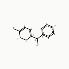 CC1=CC=C(C(C)c2ccccc2)CC1